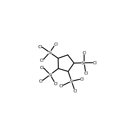 Cl[Si](Cl)(Cl)C1CC([Si](Cl)(Cl)Cl)C([Si](Cl)(Cl)Cl)C1[Si](Cl)(Cl)Cl